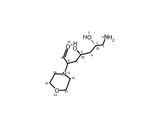 NC[C@@H](O)C[C@H](O)CC(C=O)N1CCOCC1